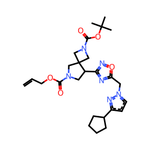 C=CCOC(=O)N1CC(c2noc(Cn3ccc(C4CCCC4)n3)n2)C2(C1)CN(C(=O)OC(C)(C)C)C2